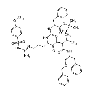 COc1ccc(S(=O)(=O)NC(N)=NCCC[C@H](NC(=O)N[C@@H](Cc2ccccc2)C(=O)OC(C)(C)C)C(=O)N[C@H](C(=O)N[C@H](COCc2ccccc2)Cc2ccccc2)C(C)C)cc1